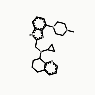 CN1CCN(c2cccc3[nH]c(CN(C4CC4)C4CCCc5cccnc54)nc23)CC1